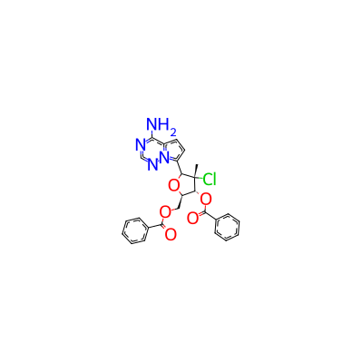 C[C@]1(Cl)C(c2ccc3c(N)ncnn23)O[C@H](COC(=O)c2ccccc2)[C@H]1OC(=O)c1ccccc1